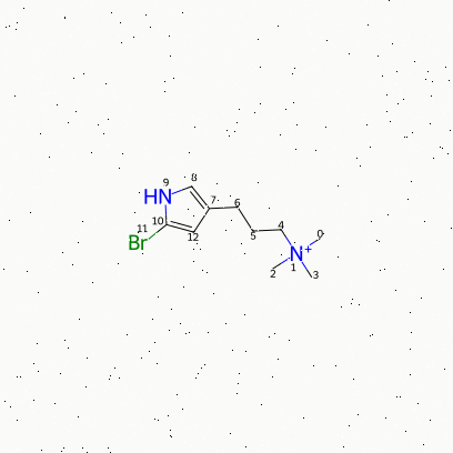 C[N+](C)(C)CCCc1c[nH]c(Br)c1